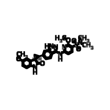 COc1ccc2c(c1)[C@]1(C[C@H]1c1ccc3c(Nc4ccc(S(=O)(=O)N(C)C)c(OC)n4)n[nH]c3c1)C(=O)N2